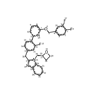 Fc1ccc(COc2cccc(-c3ccc(Cc4nc5ccccc5n4C[C@@H]4CCO4)cc3F)n2)cc1F